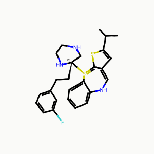 CC(C)c1cc2c(s1)=S([C@@]1(CCc3cccc(F)c3)CNCCN1)c1ccccc1NC=2